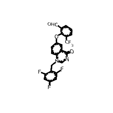 O=Cc1cccc(C(F)(F)F)c1Oc1ccc2c(c1)c(=O)ncn2Cc1c(F)cc(F)cc1F